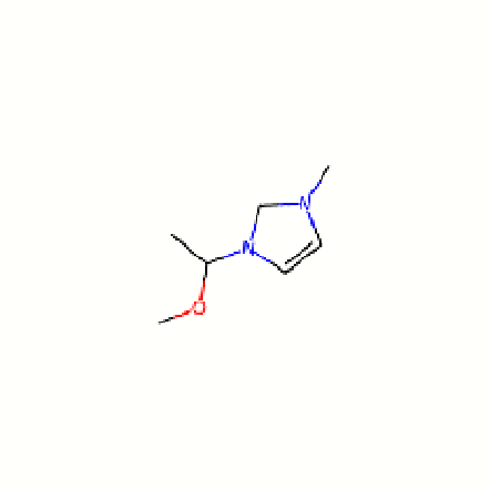 COC(C)N1C=CN(C)C1